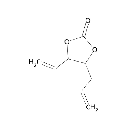 C=CCC1OC(=O)OC1C=C